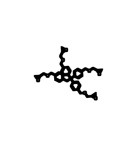 c1cc(CC(c2ccc(COCC3CO3)cc2)(c2ccc(COCC3CO3)cc2)c2ccc(COCC3CO3)cc2)ccc1COCC1CO1